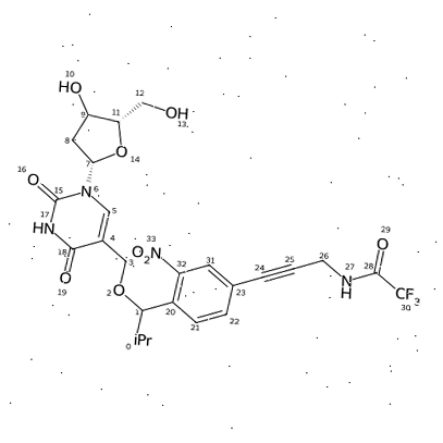 CC(C)C(OCc1cn([C@@H]2CC(O)[C@H](CO)O2)c(=O)[nH]c1=O)c1ccc(C#CCNC(=O)C(F)(F)F)cc1[N+](=O)[O-]